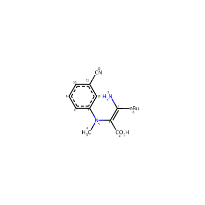 CCCCC(N)=C(C(=O)O)N(C)c1cccc(C#N)c1